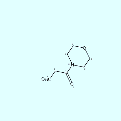 O=CCC(=O)N1CCOCC1